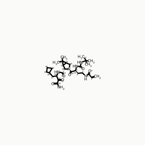 C=CC(=O)NCC[C@H](NC(=O)NC(C)(C)C)C(=O)N1CC2C([C@H]1C(=O)NC(CC1CCC1)C(=O)C(N)=O)C2(C)C